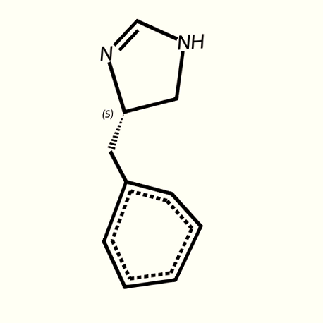 C1=N[C@@H](Cc2ccccc2)CN1